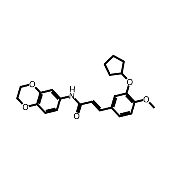 COc1ccc(/C=C/C(=O)Nc2ccc3c(c2)OCCO3)cc1OC1CCCC1